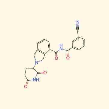 N#Cc1cccc(C(=O)NC(=O)c2cccc3c2CN(C2CCC(=O)NC2=O)C3)c1